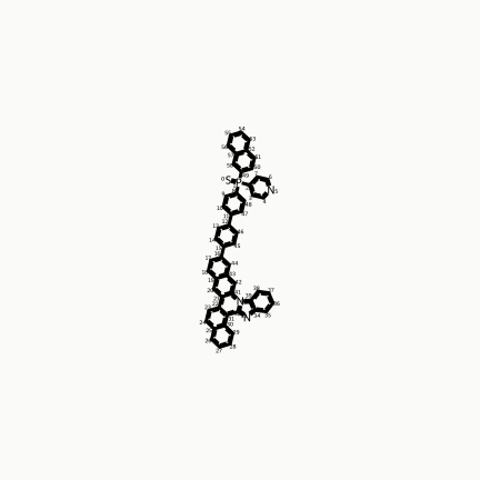 S=P(c1ccncc1)(c1ccc(-c2ccc(-c3ccc4cc5c6ccc7ccccc7c6c6nc7ccccc7n6c5cc4c3)cc2)cc1)c1ccc2ccccc2c1